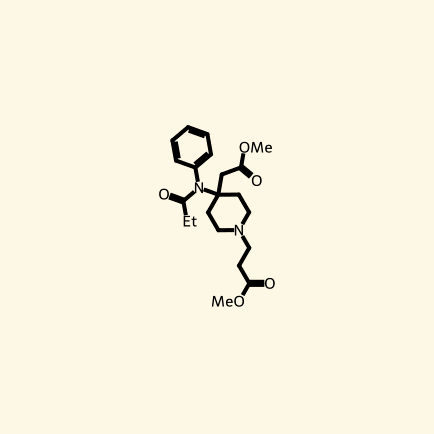 CCC(=O)N(c1ccccc1)C1(CC(=O)OC)CCN(CCC(=O)OC)CC1